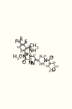 C[C@@H](Nc1nn(C)c(=O)c2nnc(C3CCN(C(=O)C4CCOCC4)CC3)cc12)c1cccc(C(F)F)c1F